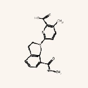 CNC(=O)c1cccc2c1CN(c1ccc(C)c(C(=O)O)n1)CC2